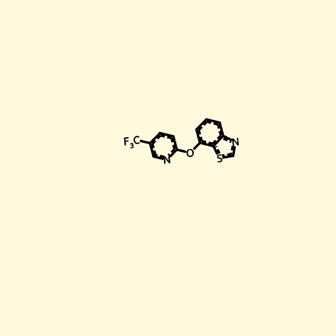 FC(F)(F)c1ccc(Oc2cccc3ncsc23)nc1